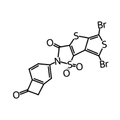 O=C1Cc2cc(N3C(=O)c4sc5c(Br)sc(Br)c5c4S3(=O)=O)ccc21